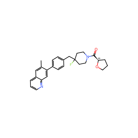 Cc1cc2cccnc2cc1-c1ccc(CC2(F)CCN(C(=O)[C@H]3CCCO3)CC2)cc1